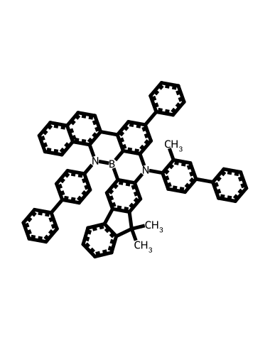 Cc1cc(-c2ccccc2)ccc1N1c2cc3c(cc2B2c4c(cc(-c5ccccc5)cc41)-c1ccc4ccccc4c1N2c1ccc(-c2ccccc2)cc1)-c1ccccc1C3(C)C